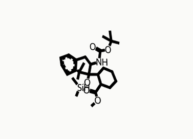 COC(=O)C1CCCCC1C(O[SiH](C)C)(C(Cc1ccccc1)NC(=O)OC(C)(C)C)C(C)(C)C